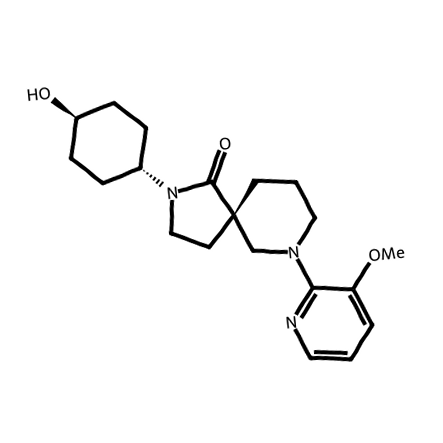 COc1cccnc1N1CCC[C@]2(CCN([C@H]3CC[C@H](O)CC3)C2=O)C1